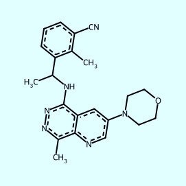 Cc1c(C#N)cccc1C(C)Nc1nnc(C)c2ncc(N3CCOCC3)cc12